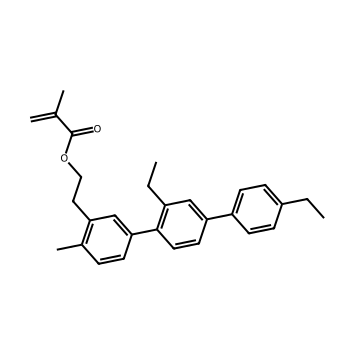 C=C(C)C(=O)OCCc1cc(-c2ccc(-c3ccc(CC)cc3)cc2CC)ccc1C